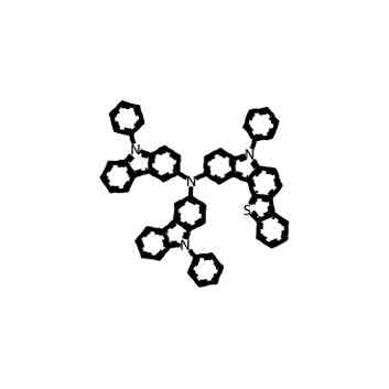 c1ccc(-n2c3ccccc3c3cc(N(c4ccc5c(c4)c4ccccc4n5-c4ccccc4)c4ccc5c(c4)c4c6sc7ccccc7c6ccc4n5-c4ccccc4)ccc32)cc1